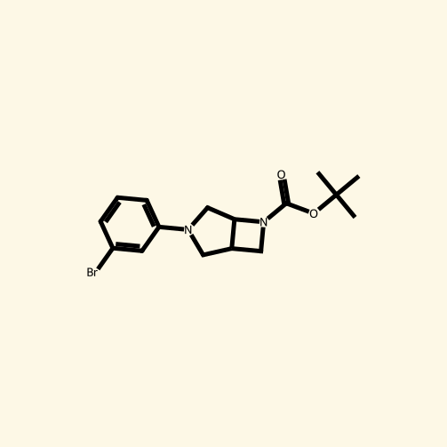 CC(C)(C)OC(=O)N1CC2CN(c3cccc(Br)c3)CC21